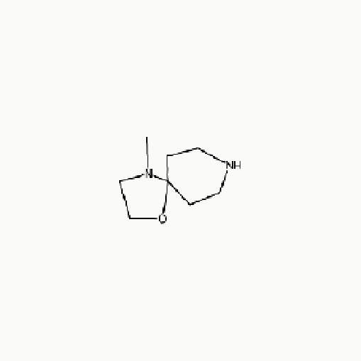 CN1CCOC12CCNCC2